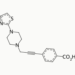 O=C(O)c1ccc(C#CCN2CCN(c3nccs3)CC2)cc1